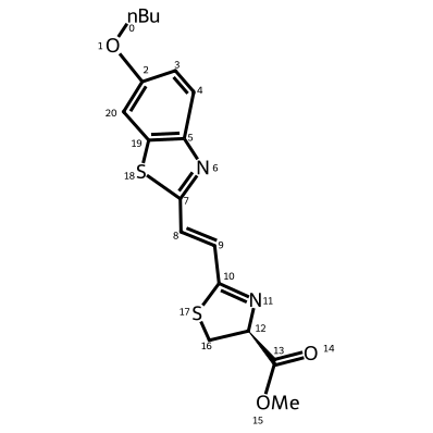 CCCCOc1ccc2nc(/C=C/C3=N[C@@H](C(=O)OC)CS3)sc2c1